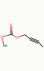 CC#CCOC(=O)OCCC